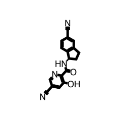 N#Cc1cnc(C(=O)N[C@@H]2CCc3cc(C#N)ccc32)c(O)c1